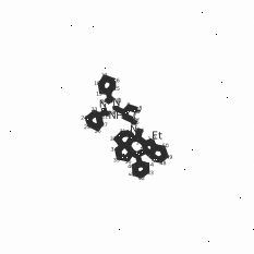 CCc1c2c3cn(-c4cccc(C5=NC(c6ccccc6)=NC(c6ccccc6)N5)c4)c4ccc5cccc(c(-c6ccccc6)c-2c2ccccc12)c5c34